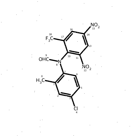 Cc1cc(Cl)ccc1N(C=O)c1c([N+](=O)[O-])cc([N+](=O)[O-])cc1C(F)(F)F